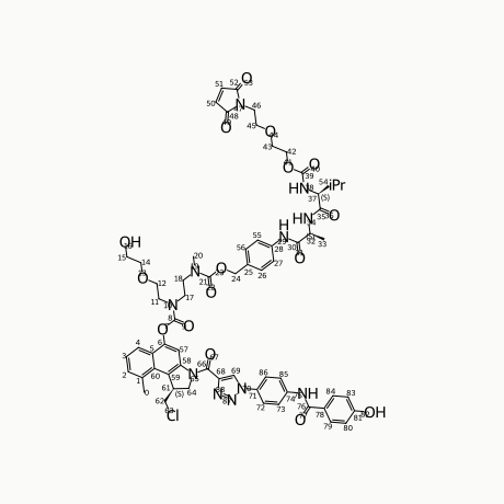 Cc1cccc2c(OC(=O)N(CCOCCO)CCN(C)C(=O)OCc3ccc(NC(=O)[C@H](C)NC(=O)[C@@H](NC(=O)OCCOCCN4C(=O)C=CC4=O)C(C)C)cc3)cc3c(c12)[C@H](CCl)CN3C(=O)c1cn(-c2ccc(NC(=O)c3ccc(O)cc3)cc2)nn1